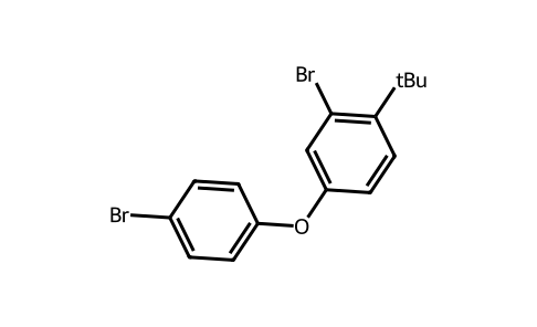 CC(C)(C)c1ccc(Oc2ccc(Br)cc2)cc1Br